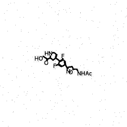 CC(=O)NCC1CC(c2cc(F)c(C3=CCNC(C(=O)CO)C3)c(F)c2)=NO1